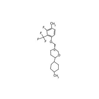 Cc1ccc(OC[C@@H]2CCC(C3CCC(C)CC3)OC2)c(C(F)(F)F)c1F